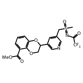 COC(=O)c1cccc2c1OCC(c1cncc(CS(C)(=O)=NC(=O)C(F)(F)F)c1)O2